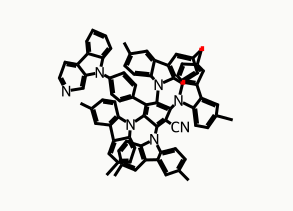 Cc1ccc2c(c1)c1cc(C)ccc1n2-c1c(C#N)c(-n2c3ccc(C)cc3c3cc(C)ccc32)c(-n2c3ccc(C)cc3c3cc(C)ccc32)c(-c2ccc(-n3c4ccccc4c4ccncc43)cc2)c1-n1c2ccc(C)cc2c2cc(C)ccc21